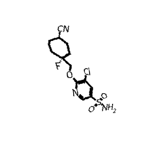 N#C[C@H]1CC[C@@](F)(COc2ncc(S(N)(=O)=O)cc2Cl)CC1